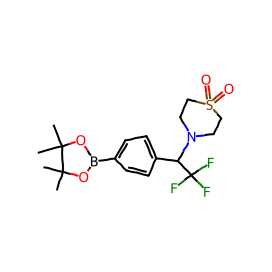 CC1(C)OB(c2ccc(C(N3CCS(=O)(=O)CC3)C(F)(F)F)cc2)OC1(C)C